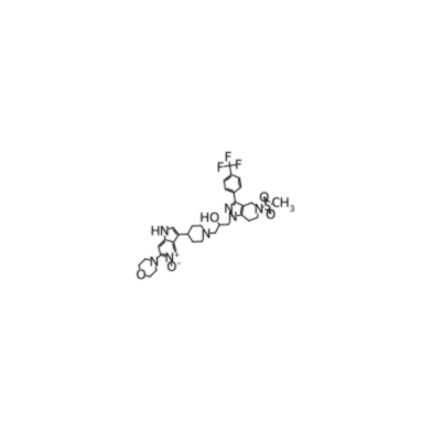 CS(=O)(=O)N1CCc2c(c(-c3ccc(C(F)(F)F)cc3)nn2CC(O)CN2CCC(c3c[nH]c4cc(N5CCOCC5)[n+]([O-])cc34)CC2)C1